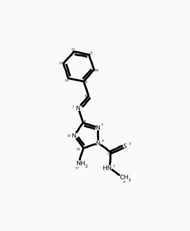 CNC(=S)n1nc(N=Cc2ccccc2)nc1N